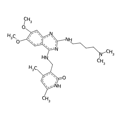 COc1cc2nc(NCCCCN(C)C)nc(NCc3c(C)cc(C)[nH]c3=O)c2cc1OC